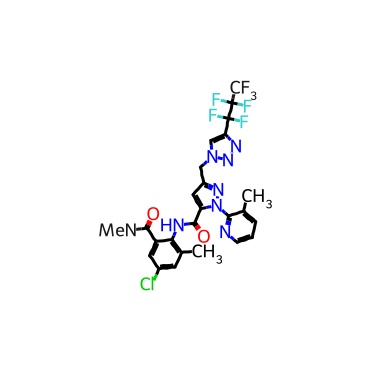 CNC(=O)c1cc(Cl)cc(C)c1NC(=O)c1cc(Cn2cc(C(F)(F)C(F)(F)C(F)(F)F)nn2)nn1-c1ncccc1C